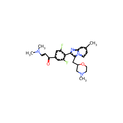 Cc1ccn2c(CC3CN(C)CCO3)c(-c3c(F)cc(C(=O)/C=C/N(C)C)cc3F)nc2c1